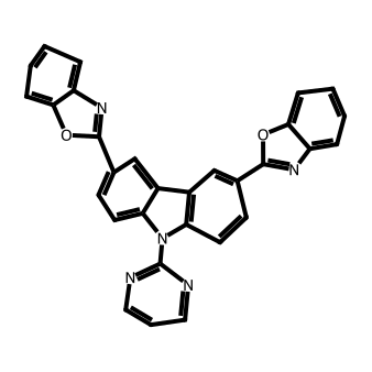 c1cnc(-n2c3ccc(-c4nc5ccccc5o4)cc3c3cc(-c4nc5ccccc5o4)ccc32)nc1